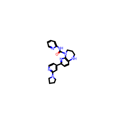 O=C(Nc1ccccn1)N1CCCNc2ccc(-c3ccnc(N4CCCC4)c3)nc21